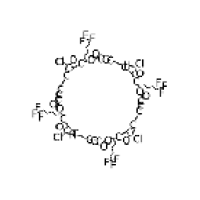 O=C1CCC/C=C\CC2C=C(Cl)C(=O)/C2=C/C[C@@H](CCCCC(F)(F)F)OC(=O)CCC/C=C\C[C@H]2C=C(Cl)C(=O)/C2=C/C[C@H](CCCCC(F)(F)F)OC(=O)CCC/C=C\CC2C=C(Cl)C(=O)/C2=C/C[C@@H](CCCCC(F)(F)F)OC(=O)CCC/C=C\C[C@H]2C=C(Cl)C(=O)/C2=C/C[C@H](CCCCC(F)(F)F)O1